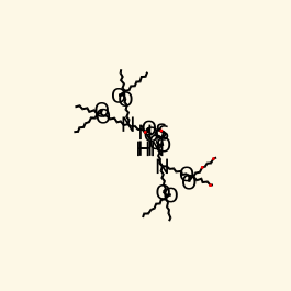 CCCCCCCCC(CCCCCC)C(=O)OCCCCCCN(CCCCCCOC(=O)C(CCCCCC)CCCCCCCC)CCCCNC(=O)O[C@@H]1CSSC[C@H]1OC(=O)NCCCCN(CCCCCCOC(=O)C(CCCCCC)CCCCCCCC)CCCCCCOC(=O)C(CCCCCC)CCCCCCCC